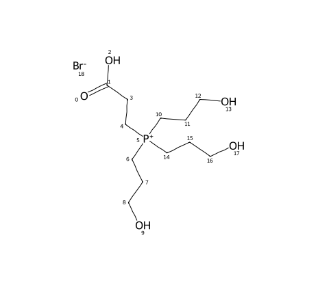 O=C(O)CC[P+](CCCO)(CCCO)CCCO.[Br-]